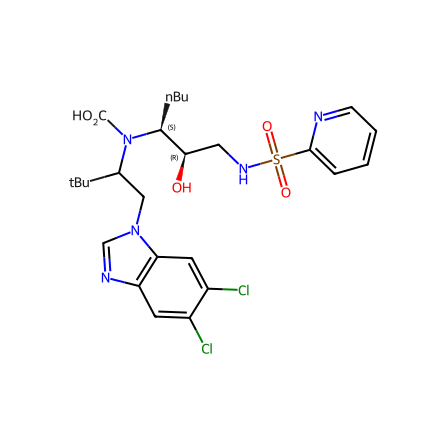 CCCC[C@@H]([C@H](O)CNS(=O)(=O)c1ccccn1)N(C(=O)O)C(Cn1cnc2cc(Cl)c(Cl)cc21)C(C)(C)C